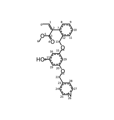 CC=C(C(=O)OC)c1ccccc1COc1cc(O)cc(OCc2ccncc2)c1